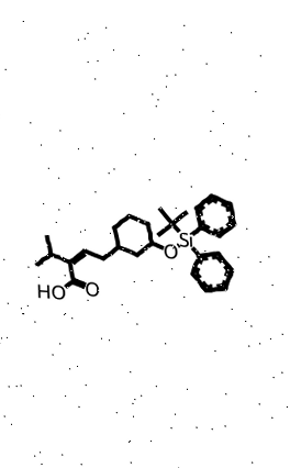 CC(C)C(=CCC1CCCC(O[Si](c2ccccc2)(c2ccccc2)C(C)(C)C)C1)C(=O)O